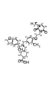 Cc1cc(CN(CC2CCC(C(=O)O)CC2)C(C)c2ccc3c(c2)CCO3)ccc1OCCn1c(=O)ccn(C)c1=O